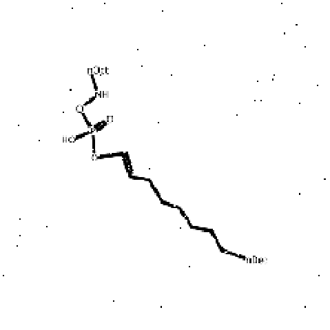 CCCCCCCCCCCCCCCCC=COP(=O)(O)ONCCCCCCCC